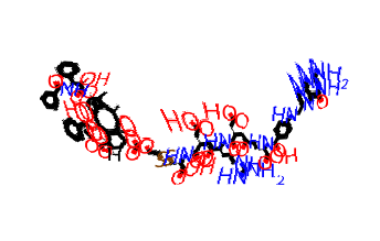 CC(=O)O[C@@]12CO[C@@H]1C[C@H](OC(=O)OCCSSC[C@H](NC(=O)[C@H](CC(=O)O)CC(=O)[C@H](CCCNC(=N)N)NC(=O)[C@H](CC(=O)O)CC(=O)CC[C@H](NC(=O)c1ccc(NCc3cnc4nc(N)[nH]c(=O)c4n3)cc1)C(=O)O)C(=O)O)[C@@]1(C)C(=O)[C@H](C)C3=C(C)[C@@H](OC(=O)[C@H](O)[C@@H](NC(=O)c4ccccc4)c4ccccc4)C[C@@](O)([C@@H](OC(=O)c4ccccc4)C12)C3(C)C